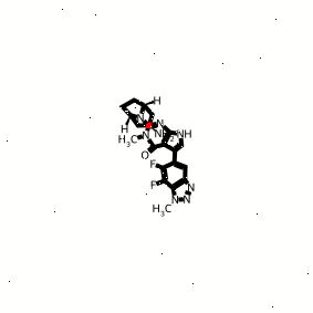 Cn1c(N2[C@@H]3CC[C@H]2C[C@@H](N)C3)nc2[nH]cc(-c3cc4nnn(C)c4c(F)c3F)c2c1=O